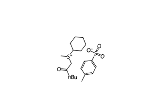 CCCCC(=O)C[S+](C)C1CCCCC1.Cc1ccc(S(=O)(=O)[O-])cc1